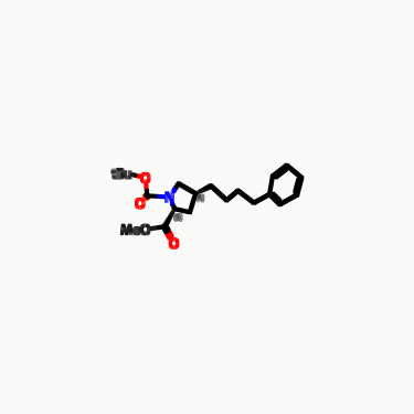 COC(=O)[C@@H]1C[C@H](CCCCc2ccccc2)CN1C(=O)OC(C)(C)C